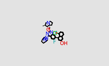 C[C@H]1CN2CCC[C@@]2(COc2nc(N3CC4CCC(C3)N4C)c3cc(F)c(-c4cc(O)cc5cccc(Cl)c45)c(F)c3n2)C1